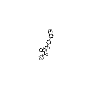 C[C@@H]1CN(C(=O)c2nn(CC(=O)N3CCC(c4cccc(CC(F)(F)F)c4)CC3)c3c2CCC3)C[C@H](C)O1